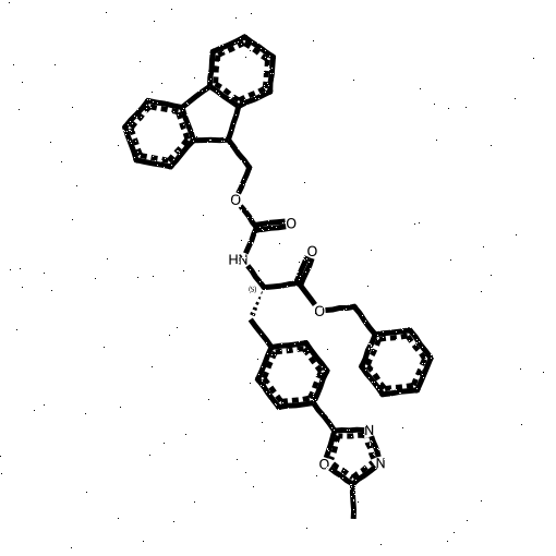 Cc1nnc(-c2ccc(C[C@H](NC(=O)OCC3c4ccccc4-c4ccccc43)C(=O)OCc3ccccc3)cc2)o1